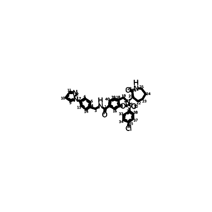 O=C(NCc1ccc(-n2cccn2)cc1)c1ccc(CN([C@@H]2CCCCNC2=O)S(=O)(=O)c2ccc(Cl)cc2)cc1